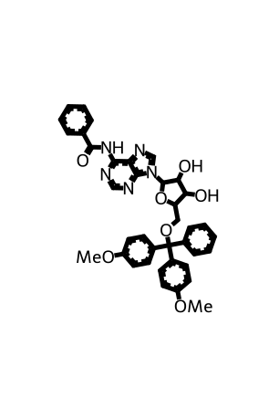 COc1ccc(C(OCC2OC(n3cnc4c(NC(=O)c5ccccc5)ncnc43)C(O)C2O)(c2ccccc2)c2ccc(OC)cc2)cc1